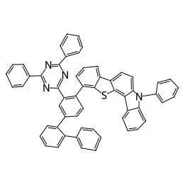 c1ccc(-c2nc(-c3ccccc3)nc(-c3cc(-c4ccccc4-c4ccccc4)ccc3-c3cccc4c3sc3c4ccc4c3c3ccccc3n4-c3ccccc3)n2)cc1